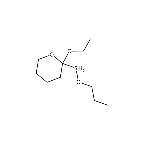 CCCO[SiH2]C1(OCC)CCCCO1